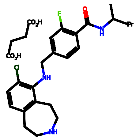 CC(C)C(C)NC(=O)c1ccc(CNc2c(Cl)ccc3c2CCNCC3)cc1F.O=C(O)CCC(=O)O